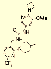 COc1cc(NC(=O)NCc2ccc(C(F)(F)F)nc2N2CCC(C)CC2)cnc1N1CCC1